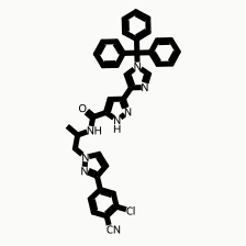 CC(Cn1ccc(-c2ccc(C#N)c(Cl)c2)n1)NC(=O)c1cc(-c2cn(C(c3ccccc3)(c3ccccc3)c3ccccc3)cn2)n[nH]1